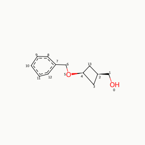 OC[C@H]1C[C@@H](OCc2ccccc2)C1